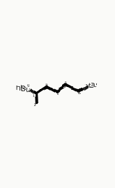 CCCCC(C)CCCCC(C)(C)C